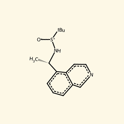 C[C@H](N[S+]([O-])C(C)(C)C)c1cccc2cnccc12